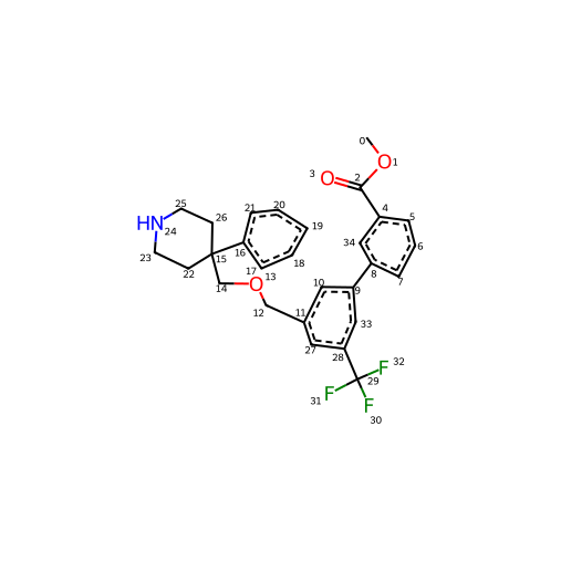 COC(=O)c1cccc(-c2cc(COCC3(c4ccccc4)CCNCC3)cc(C(F)(F)F)c2)c1